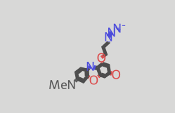 CNc1ccc2nc3c(OCCCN=[N+]=[N-])cc(=O)cc-3oc2c1